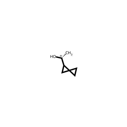 C[C@@H](O)C1CC12CC2